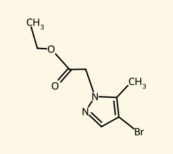 CCOC(=O)Cn1ncc(Br)c1C